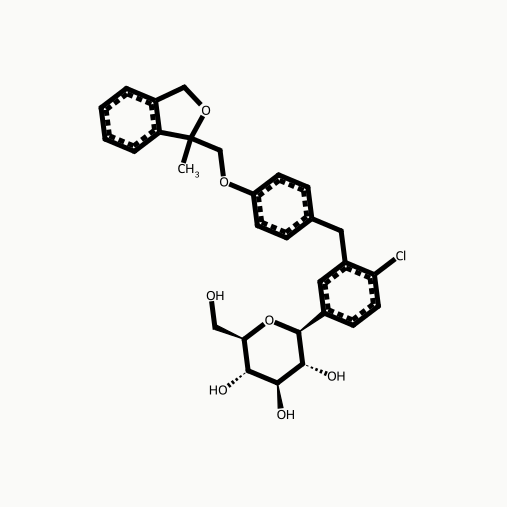 CC1(COc2ccc(Cc3cc([C@@H]4O[C@H](CO)[C@@H](O)[C@H](O)[C@H]4O)ccc3Cl)cc2)OCc2ccccc21